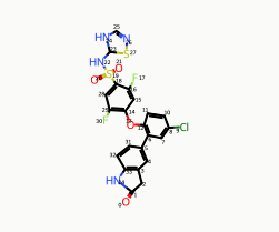 O=C1Cc2cc(-c3cc(Cl)ccc3Oc3cc(F)c(S(=O)(=O)NC4NC=NS4)cc3F)ccc2N1